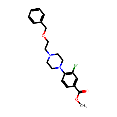 COC(=O)c1ccc(N2CCN(CCOCc3ccccc3)CC2)c(Br)c1